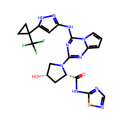 O=C(Nc1ncns1)[C@@H]1C[C@H](O)CN1c1nc(Nc2cc(C3(C(F)(F)F)CC3)[nH]n2)n2cccc2n1